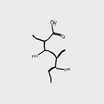 CCC(O)C(C)C(O)C(C)C(=O)O